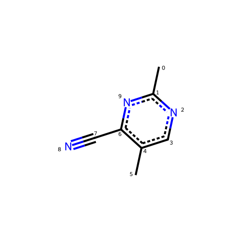 Cc1ncc(C)c(C#N)n1